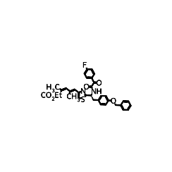 CCOC(=O)/C(C)=C\C(C)=C\c1csc([C@H](Cc2ccc(OCc3ccccc3)cc2)NC(=O)C(=O)c2ccc(F)cc2)n1